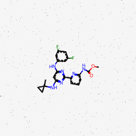 COC(=O)Nc1cccc(-c2nc(Nc3cc(F)cc(F)c3)cc(NC3(C)CC3)n2)n1